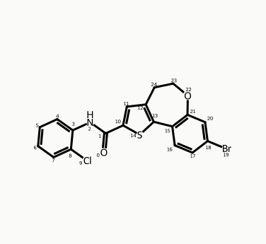 O=C(Nc1ccccc1Cl)c1cc2c(s1)-c1ccc(Br)cc1OCC2